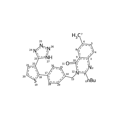 CCCCc1nc2ccc(C)cc2c(=O)n1Cc1ccc(-c2sccc2-c2nnn[nH]2)cc1